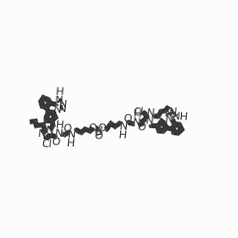 CCCCc1nc(Cl)c(C(=O)NCC(=O)NCCCCO[N+](=O)OCCCCNC(=O)CNC(=O)c2c(Cl)nc(CCCC)n2Cc2ccc(-c3ccccc3-c3nnn[nH]3)cc2)n1Cc1ccc(-c2ccccc2-c2nnn[nH]2)cc1